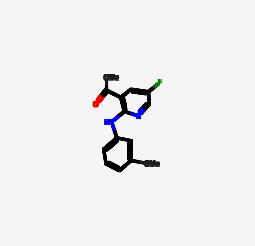 COC(=O)c1cc(F)cnc1Nc1cccc(OC)c1